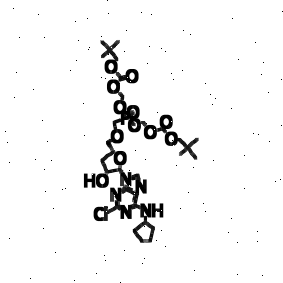 CC(C)(C)COC(=O)OCOP(=O)(COC[C@@H]1C[C@@H](O)[C@H](n2cnc3c(NC4CCCC4)nc(Cl)nc32)O1)OCOC(=O)OCC(C)(C)C